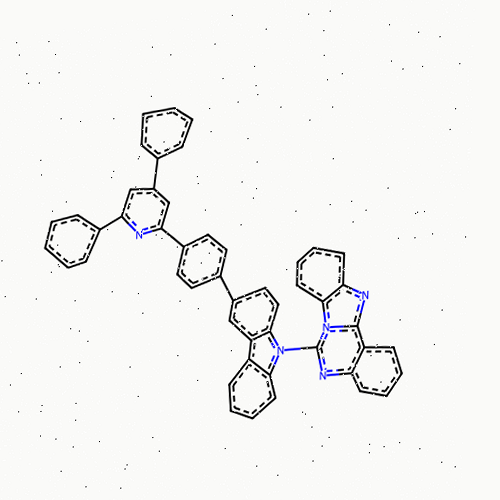 c1ccc(-c2cc(-c3ccccc3)nc(-c3ccc(-c4ccc5c(c4)c4ccccc4n5-c4nc5ccccc5c5nc6ccccc6n45)cc3)c2)cc1